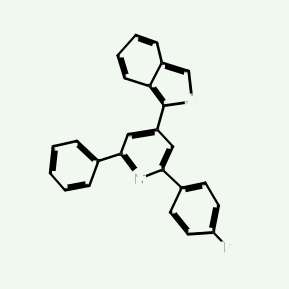 Brc1ccc(-c2cc(-c3occ4ccccc34)cc(-c3ccccc3)n2)cc1